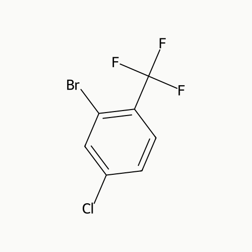 FC(F)(F)c1ccc(Cl)cc1Br